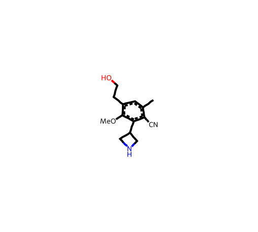 COc1c(CCO)cc(C)c(C#N)c1C1CNC1